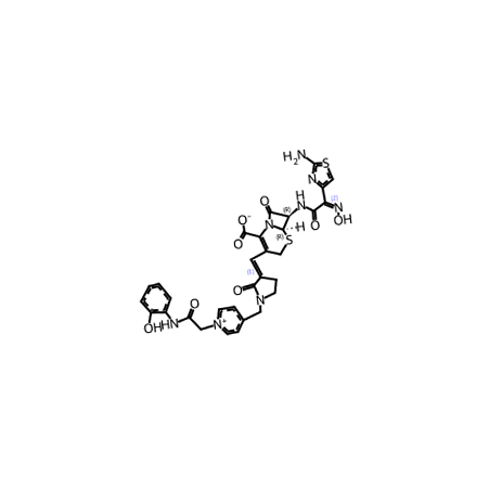 Nc1nc(/C(=N/O)C(=O)N[C@@H]2C(=O)N3C(C(=O)[O-])=C(/C=C4\CCN(Cc5cc[n+](CC(=O)Nc6ccccc6O)cc5)C4=O)CS[C@H]23)cs1